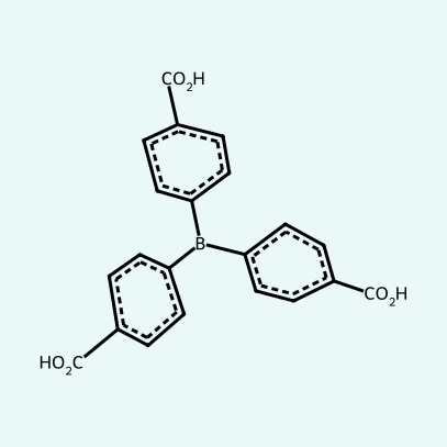 O=C(O)c1ccc(B(c2ccc(C(=O)O)cc2)c2ccc(C(=O)O)cc2)cc1